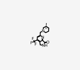 C[C@H]1CCCN(Cc2cc(C(F)(F)F)c3c(n2)C(=O)NC3)C1